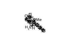 C=CC(=O)Nc1cc(Nc2cc(N3OCC[C@@H]3c3cccc(Cl)c3Cl)ncn2)c(OC)cc1N1CCC(N2CCN(C3CCOCC3)CC2)CC1